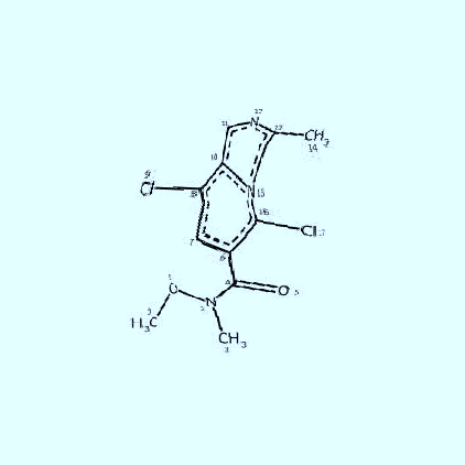 CON(C)C(=O)c1cc(Cl)c2cnc(C)n2c1Cl